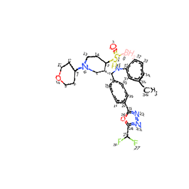 B[SH](=O)(C1CCN(C2CCOCC2)CC1)N(Cc1ccc(-c2nnc(C(F)F)o2)cc1)c1cccc(C)c1